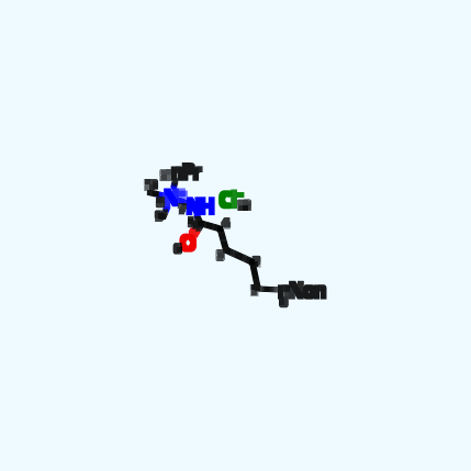 CCCCCCCCCCCCCC(=O)N[N+](C)(C)CCC.[Cl-]